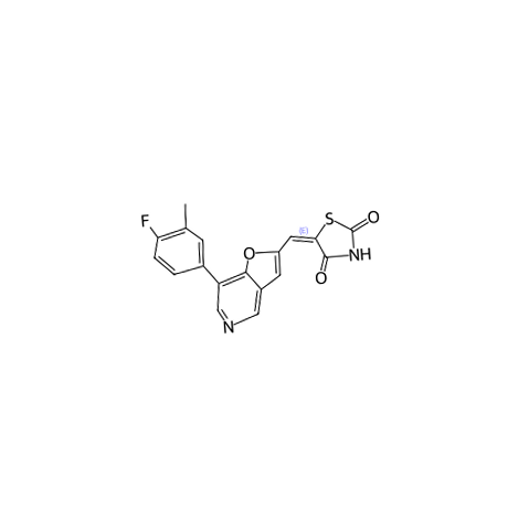 Cc1cc(-c2cncc3cc(/C=C4/SC(=O)NC4=O)oc23)ccc1F